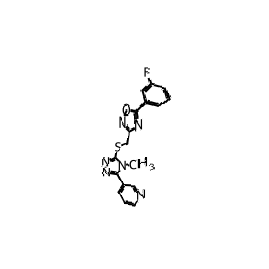 Cn1c(SCc2noc(-c3cccc(F)c3)n2)nnc1-c1cccnc1